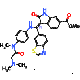 COC(=O)c1ccc2c(c1)NC(=O)/C2=C(\Nc1ccc(N(C)C(=O)CN(C)C)cc1)c1ccc2ncsc2c1